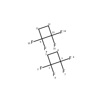 FC1(F)CCC1(F)F.FC1(F)CCC1(F)F